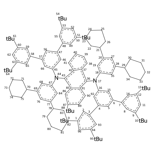 CC(C)(C)c1cc(-c2cc(-c3cc(C(C)(C)C)cc(C(C)(C)C)c3)cc(N(c3cc(C4CCCCC4)cc(C4CCCCC4)c3)c3c4ccccc4c(N(c4cc(-c5cc(C(C)(C)C)cc(C(C)(C)C)c5)cc(-c5cc(C(C)(C)C)cc(C(C)(C)C)c5)c4)c4cc(C5CCCCC5)cc(C5CCCCC5)c4)c4cc(C(C)(C)C)ccc34)c2)cc(C(C)(C)C)c1